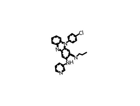 CCCN=c1cc2n(-c3ccc(Cl)cc3)c3ccccc3nc-2cc1Nc1cccnc1